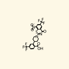 O=C(O)c1ccc(C(F)(F)F)cc1C1CCN(c2nc(=O)c3cc(C(F)(F)F)cc([N+](=O)[O-])c3s2)CC1